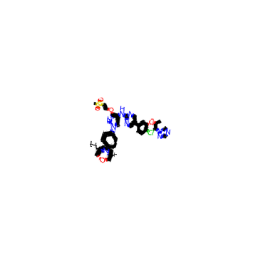 CC(Cn1cncn1)Oc1cc(-c2cnc(Nc3cn(C4CCC(N5[C@@H]6CC[C@H]5COC6)CC4)nc3OCCS(C)(=O)=O)nc2)ccc1Cl